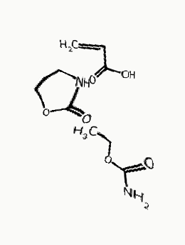 C=CC(=O)O.CCOC(N)=O.O=C1NCCO1